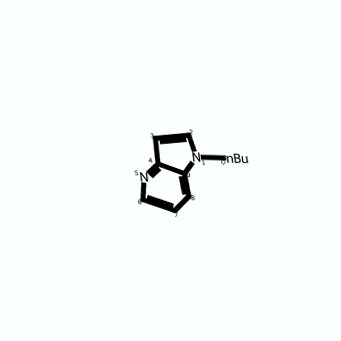 [CH2]CCCn1ccc2ncccc21